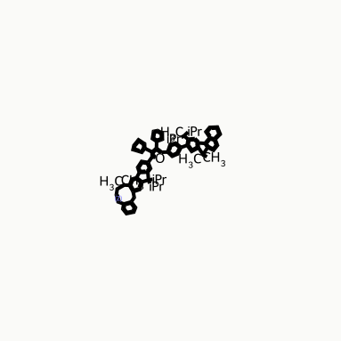 CC(C)C(C)(c1cc2c(cc1-c1ccc(-c3oc(-c4ccc5c(c4)C(C(C)C)(C(C)C)c4cc6c(cc4-5)C(C)(C)C/C=C\c4ccccc4C6)c(-c4ccccc4)c3-c3ccccc3)cc1)C(C)(C)c1ccc3ccccc3c1-2)C(C)C